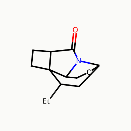 CCC1CC2CCC3N2C(=O)C2CCC123